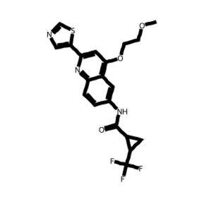 COCCOc1cc(-c2cncs2)nc2ccc(NC(=O)C3CC3C(F)(F)F)cc12